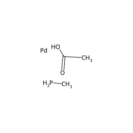 CC(=O)O.CP.[Pd]